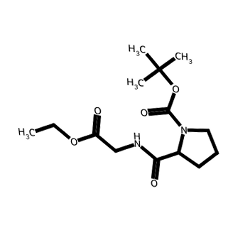 CCOC(=O)CNC(=O)C1CCCN1C(=O)OC(C)(C)C